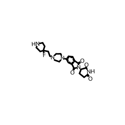 O=C1CCC(N2C(=O)c3ccc(N4CCN(CCC5(F)CCNCC5)CC4)cc3C2=O)C(=O)N1